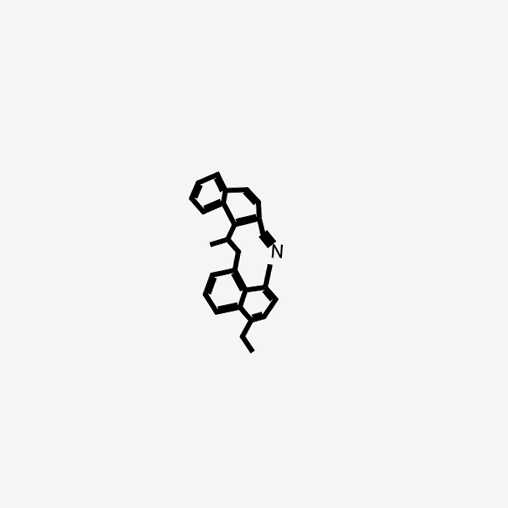 CCc1ccc(C)c2c(CC(C)c3c(C#N)ccc4ccccc34)cccc12